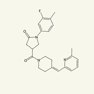 Cc1cccc(C=C2CCN(C(=O)C3CC(=O)N(c4ccc(C)c(F)c4)C3)CC2)n1